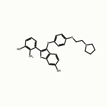 Cc1c(O)cccc1-c1sc2cc(O)ccc2c1Oc1ccc(OCCN2CCCC2)cc1